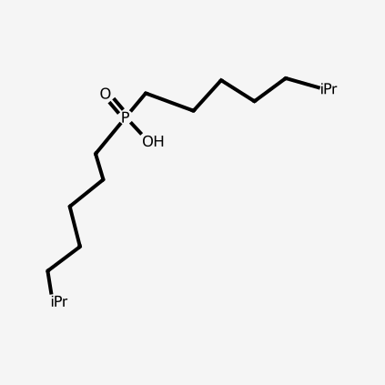 CC(C)CCCCCP(=O)(O)CCCCCC(C)C